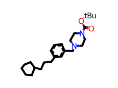 CC(C)(C)OC(=O)N1CCN(Cc2cccc(CCCC3CCCCC3)c2)CC1